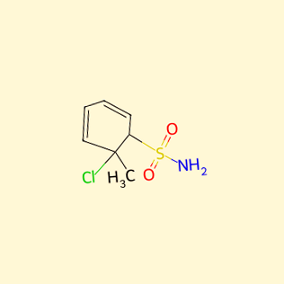 CC1(Cl)C=CC=CC1S(N)(=O)=O